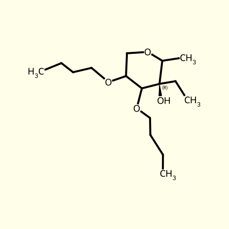 CCCCOC1COC(C)[C@](O)(CC)C1OCCCC